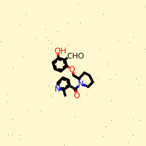 Cc1ncccc1C(=O)N1CCCCC1COc1cccc(O)c1C=O